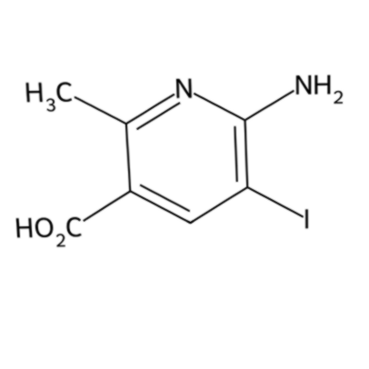 Cc1nc(N)c(I)cc1C(=O)O